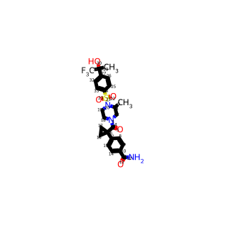 CC1CN(C(=O)C2(c3ccc(C(N)=O)cc3)CC2)CCN1S(=O)(=O)c1ccc(C(C)(O)C(F)(F)F)cc1